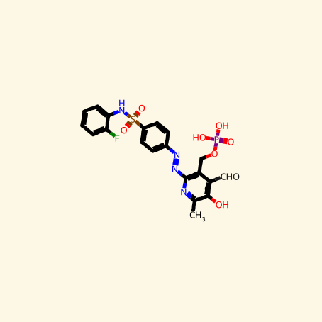 Cc1nc(N=Nc2ccc(S(=O)(=O)Nc3ccccc3F)cc2)c(COP(=O)(O)O)c(C=O)c1O